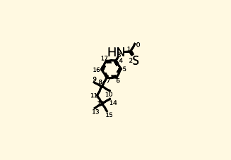 CC(=S)Nc1ccc(C(C)(C)CC(C)(C)C)cc1